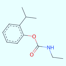 CCNC(=O)Oc1ccccc1C(C)C